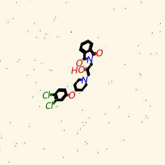 O=C1c2ccccc2C(=O)N1C[C@H](O)CN1CCC(Oc2ccc(Cl)c(Cl)c2)CC1